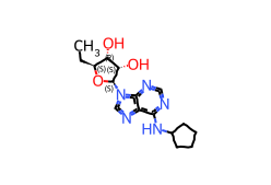 CC[C@@H]1O[C@H](n2cnc3c(NC4CCCC4)ncnc32)[C@@H](O)[C@H]1O